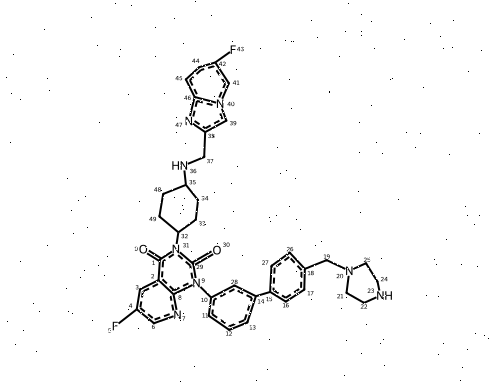 O=c1c2cc(F)cnc2n(-c2cccc(-c3ccc(CN4CCNCC4)cc3)c2)c(=O)n1C1CCC(NCc2cn3cc(F)ccc3n2)CC1